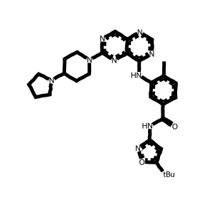 Cc1ccc(C(=O)Nc2cc(C(C)(C)C)on2)cc1Nc1ncnc2cnc(N3CCC(N4CCCC4)CC3)nc12